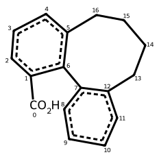 O=C(O)c1cccc2c1-c1ccccc1CCCC2